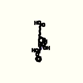 O=C(O)CCCCC[C@H]1CC[C@@H]2[C@@H](/C=C/[C@@H](O)COc3ccccc3)[C@H](O)C[C@@H]2OC1